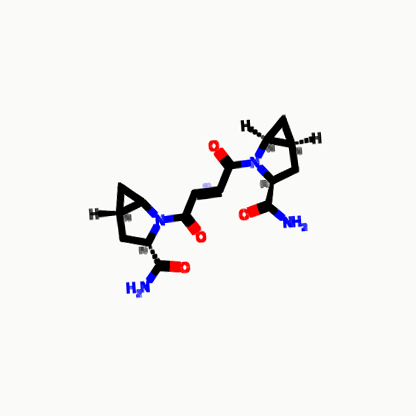 NC(=O)[C@@H]1C[C@@H]2CC2N1C(=O)/C=C/C(=O)N1[C@H](C(N)=O)C[C@@H]2C[C@@H]21